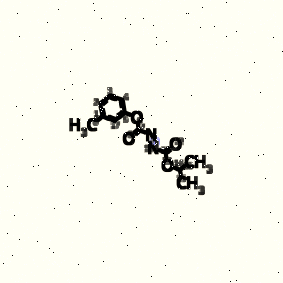 Cc1cccc(OC(=O)/N=N/C(=O)OC(C)C)c1